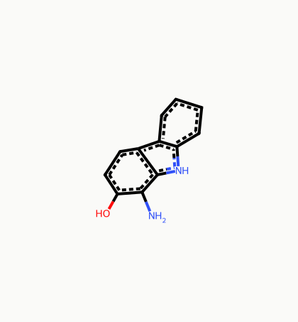 Nc1c(O)ccc2c1[nH]c1ccccc12